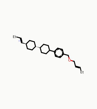 CCC=CCOCc1ccc(C2CCC([C@H]3CC[C@H](/C=C/CC)CC3)CC2)cc1